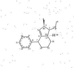 CSC1[C@H](C)C=C2C(c3ccccc3)CCC[C@@H]21